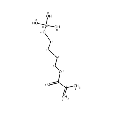 C=C(C)C(=O)OCCCCO[Si](O)(O)O